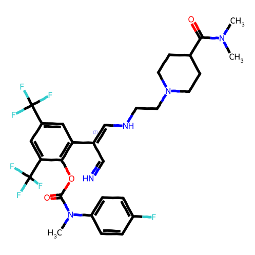 CN(C)C(=O)C1CCN(CCN/C=C(\C=N)c2cc(C(F)(F)F)cc(C(F)(F)F)c2OC(=O)N(C)c2ccc(F)cc2)CC1